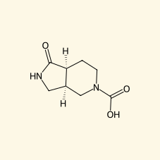 O=C1NC[C@@H]2CN(C(=O)O)CC[C@H]12